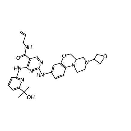 C=CCNC(=O)c1cnc(Nc2ccc3c(c2)OCC2CN(C4COC4)CCN32)nc1Nc1cccc(C(C)(C)O)n1